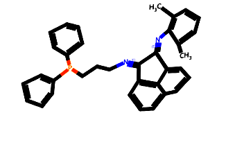 Cc1cccc(C)c1/N=C1/C(=N/CCCP(c2ccccc2)c2ccccc2)c2cccc3cccc1c23